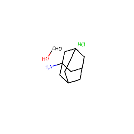 Cl.NC12CC3CC(CC(C3)C1)C2.O=CO